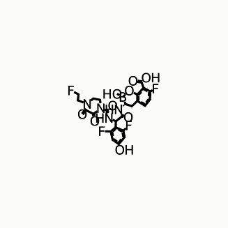 O=C(O)c1c(F)ccc2c1OB(O)[C@@H](NC(=O)C(NC(=O)N1CCN(CCF)C(=O)C1=O)c1c(F)cc(O)cc1F)C2